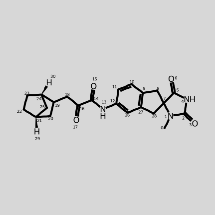 CN1C(=O)NC(=O)C12Cc1ccc(NC(=O)C(=O)CC3C[C@@H]4CC[C@H]3C4)cc1C2